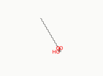 CCCCCCCCCCCCCCCCCCCCCCOC(=O)[C@H](C)O